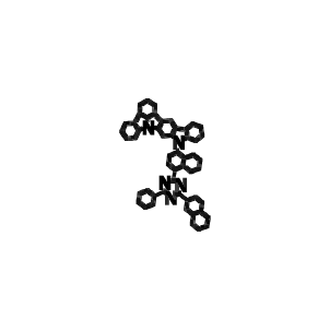 c1ccc(-c2nc(-c3ccc4ccccc4c3)nc(-c3ccc(-n4c5ccccc5c5cc6c7cccc8c9ccccc9n(c6cc54)c87)c4ccccc34)n2)cc1